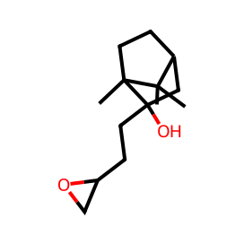 CC1(C)C2CCC1(C)C(O)(CCC1CO1)C2